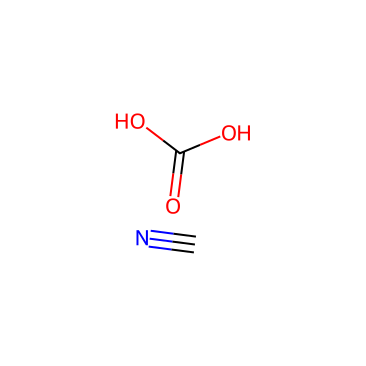 C#N.O=C(O)O